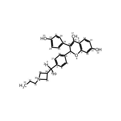 [2H]C([2H])(c1ccc(C2Oc3cc(O)ccc3C(C)=C2c2ccc(O)cc2)cc1)C1CN(CCC)C1